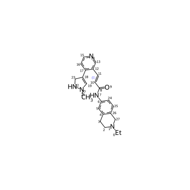 CCN1CCc2cc(NC(=O)/C=C/c3cnccc3C3=CN(C)NC3)ccc2C1